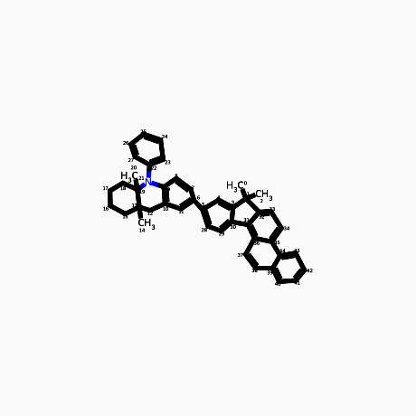 CC1(C)c2cc(-c3ccc4c(c3)CC3(C)CCCCC3(C)N4c3ccccc3)ccc2-c2c1ccc1c2ccc2ccccc21